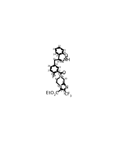 CCOC(=O)c1c(C(F)(F)F)nc2n1CCN(C(=O)c1cc(CC3=NNOc4ccccc43)ccc1F)C2